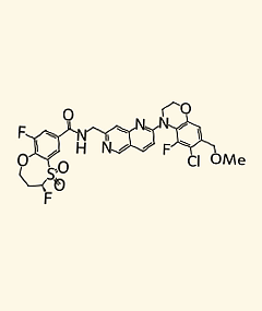 COCc1cc2c(c(F)c1Cl)N(c1ccc3cnc(CNC(=O)c4cc(F)c5c(c4)S(=O)(=O)[C@@H](F)CCO5)cc3n1)CCO2